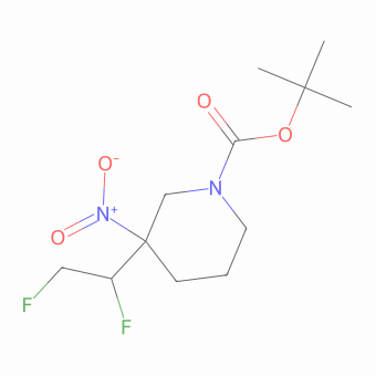 CC(C)(C)OC(=O)N1CCCC(C(F)CF)([N+](=O)[O-])C1